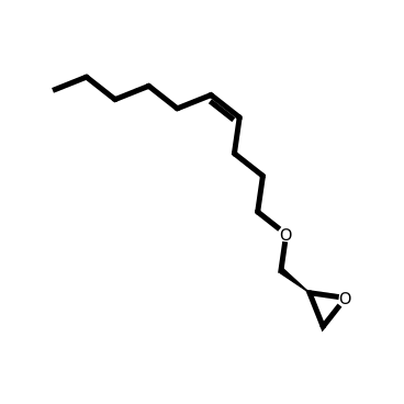 CCCCC/C=C\CCCOC[C@@H]1CO1